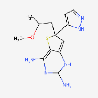 COC(C)CC1(c2ccn[nH]2)C=C2NC(N)=NC(N)=C2S1